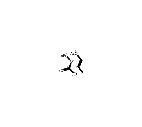 CC=COC(C)=O.CCCOC(=O)CC